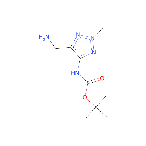 Cn1nc(CN)c(NC(=O)OC(C)(C)C)n1